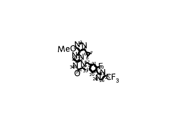 COc1ncnc(C2CC2)c1-c1ncc2c(n1)N(Cc1ccc(-c3nc(C(F)(F)F)cn3C)c(F)c1)C(C)C(=O)N2C